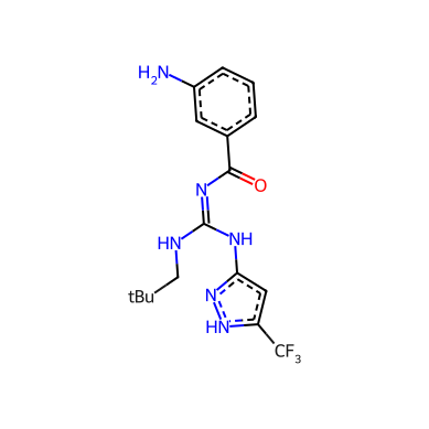 CC(C)(C)CN/C(=N/C(=O)c1cccc(N)c1)Nc1cc(C(F)(F)F)[nH]n1